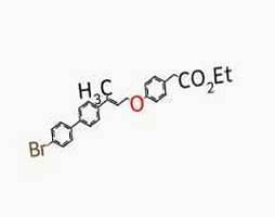 CCOC(=O)Cc1ccc(OC/C=C(\C)c2ccc(-c3ccc(Br)cc3)cc2)cc1